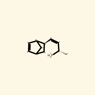 C[C@H](P)/C=C\[C@H]1CC2C=CC1C2